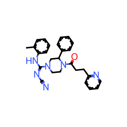 Cc1ccccc1N/C(=N/C#N)N1CCN(C(=O)CCc2ccccn2)C(c2ccccc2)C1